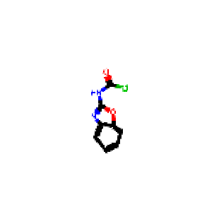 O=C(Cl)Nc1nc2ccccc2o1